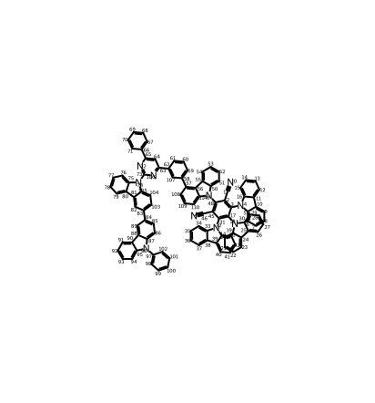 N#Cc1c(-n2c3ccccc3c3ccccc32)c(-n2c3ccccc3c3ccccc32)c(-n2c3ccccc3c3ccccc32)c(C#N)c1-n1c2ccccc2c2c(-c3cccc(-c4cc(-c5ccccc5)nc(-n5c6ccccc6c6cc(-c7ccc8c(c7)c7ccccc7n8-c7ccccc7)ccc65)n4)c3)cccc21